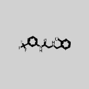 O=C(CNCc1ccccc1Cl)Nc1cccc(C(F)(F)F)c1